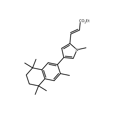 CCOC(=O)C=Cc1cc(-c2cc3c(cc2C)C(C)(C)CCC3(C)C)cn1C